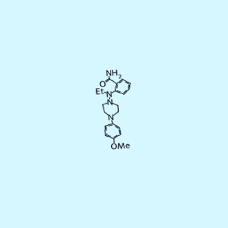 CCN(c1ccccc1C(N)=O)N1CCN(c2ccc(OC)cc2)CC1